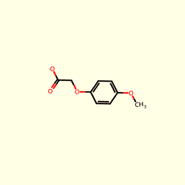 COc1ccc(OCC([O])=O)cc1